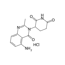 Cc1nc2cccc(N)c2c(=O)n1C1CCC(=O)NC1=O.Cl